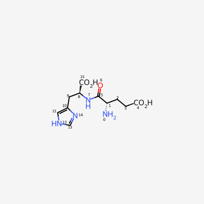 N[C@@H](CCC(=O)O)C(=O)N[C@@H](Cc1c[nH]cn1)C(=O)O